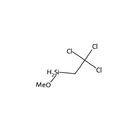 CO[SiH2]CC(Cl)(Cl)Cl